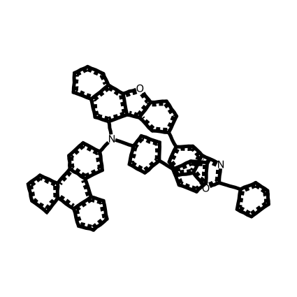 c1ccc(-c2ccc(N(c3ccc4c5ccccc5c5ccccc5c4c3)c3cc4ccccc4c4oc5ccc(-c6ccc7oc(-c8ccccc8)nc7c6)cc5c34)cc2)cc1